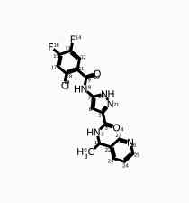 CC(NC(=O)c1cc(NC(=O)c2cc(F)c(F)cc2Cl)[nH]n1)c1cccnc1